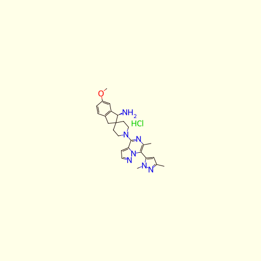 COc1ccc2c(c1)[C@@H](N)C1(CCN(c3nc(C)c(-c4cc(C)nn4C)n4nccc34)CC1)C2.Cl